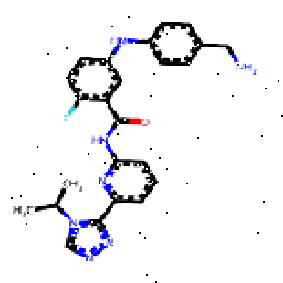 CC(C)n1cnnc1-c1cccc(NC(=O)c2cc(Nc3ccc(CN)cc3)ccc2F)n1